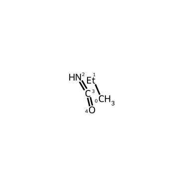 CCC.N=C=O